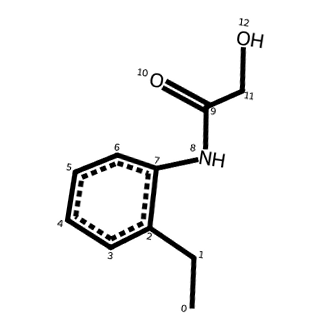 CCc1ccccc1NC(=O)CO